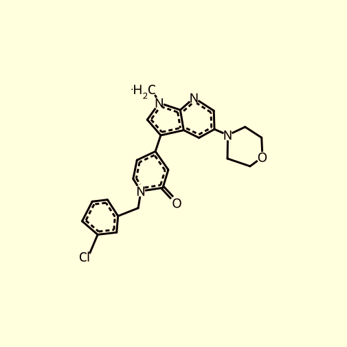 [CH2]n1cc(-c2ccn(Cc3cccc(Cl)c3)c(=O)c2)c2cc(N3CCOCC3)cnc21